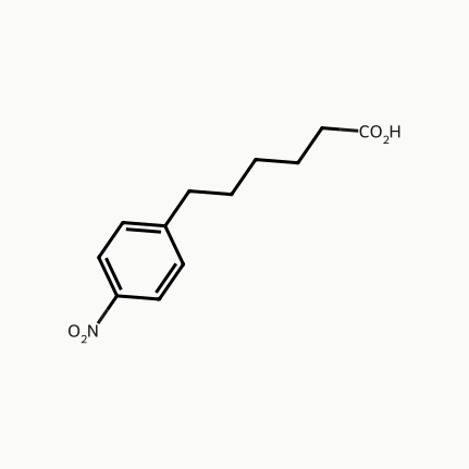 O=C(O)CCCCCc1ccc([N+](=O)[O-])cc1